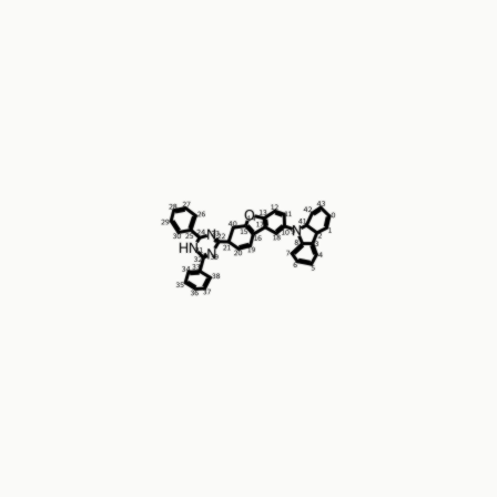 C1=CC2c3ccccc3N(c3ccc4oc5c(c4c3)C=CC(C3=NC(c4ccccc4)NC(c4ccccc4)=N3)C5)C2C=C1